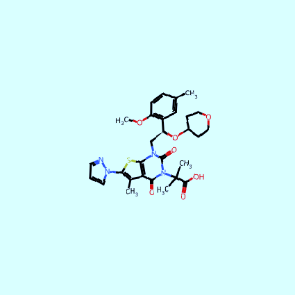 COc1ccc(C)cc1[C@H](Cn1c(=O)n(C(C)(C)C(=O)O)c(=O)c2c(C)c(-n3cccn3)sc21)OC1CCOCC1